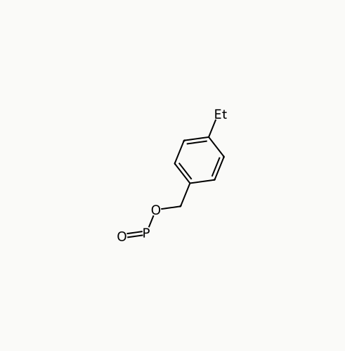 CCc1ccc(COP=O)cc1